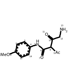 COc1ccc(NC(=O)C(C(C)=O)C(=O)CN)cc1